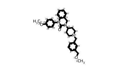 COCc1cccc(CN2CCC(N3Cc4ccccc4N(c4ccc(OC)cc4)C3=O)CC2)c1